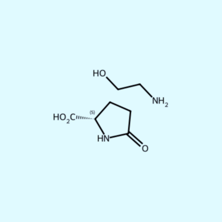 NCCO.O=C1CC[C@@H](C(=O)O)N1